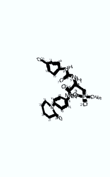 COP(=O)(CC(NC(=O)Nc1ccc(Cl)cc1)C(=O)Nc1ccc(N2CCCCC2=O)cc1)OC